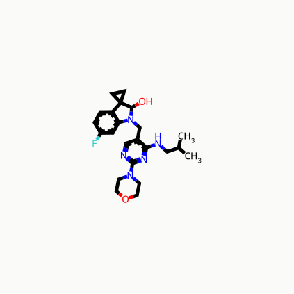 CC(C)CNc1nc(N2CCOCC2)ncc1CN1c2cc(F)ccc2C2(CC2)C1O